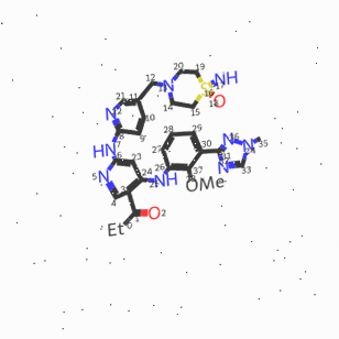 CCC(=O)c1cnc(Nc2ccc(CN3CCS(=N)(=O)CC3)cn2)cc1Nc1cccc(-c2ncn(C)n2)c1OC